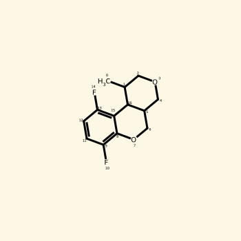 CC1COCC2COc3c(F)ccc(F)c3C12